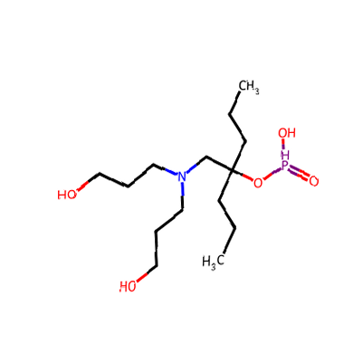 CCCC(CCC)(CN(CCCO)CCCO)O[PH](=O)O